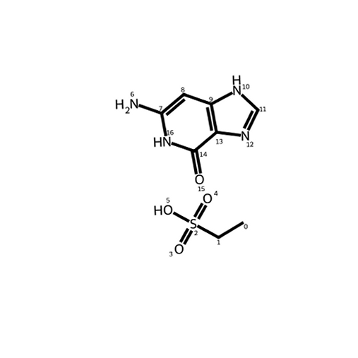 CCS(=O)(=O)O.Nc1cc2[nH]cnc2c(=O)[nH]1